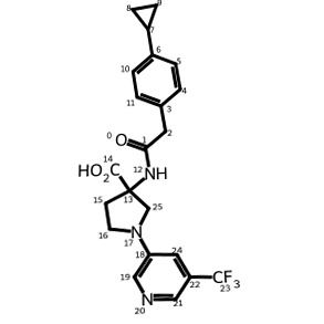 O=C(Cc1ccc(C2CC2)cc1)NC1(C(=O)O)CCN(c2cncc(C(F)(F)F)c2)C1